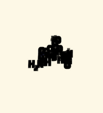 COCN1C=C2N=C(C)C=C(SCC3=C(C(=O)OCOC(=O)C(C)(C)C)N4C(=O)C(NC(=O)/C(=N\OC)c5csc(N)n5)[C@H]4SC3)N2N1